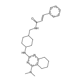 CN(C)c1nc(NC2CCC(CNC(=O)/C=C/c3ccccc3)CC2)nc2c1CCCC2